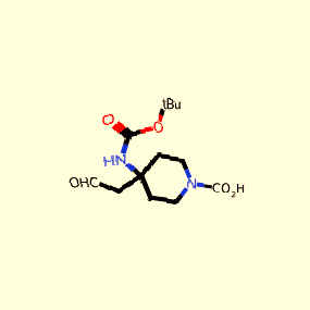 CC(C)(C)OC(=O)NC1(CC=O)CCN(C(=O)O)CC1